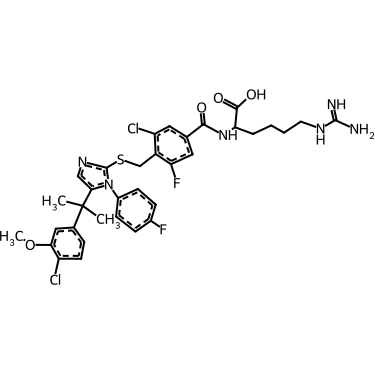 COc1cc(C(C)(C)c2cnc(SCc3c(F)cc(C(=O)NC(CCCCNC(=N)N)C(=O)O)cc3Cl)n2-c2ccc(F)cc2)ccc1Cl